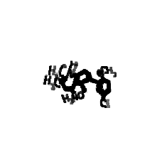 COc1ccc(Cl)cc1-c1ccc2c(c1CO)C(C)=CC(C)(C)N2